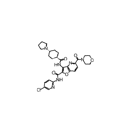 O=C(Nc1ccc(Cl)cn1)c1oc2ccc(C(=O)N3CCOCC3)nc2c1NC(=O)[C@H]1CC[C@H](N2CCCC2)CC1